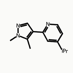 Cc1c(-c2cc(C(C)C)ccn2)cnn1C